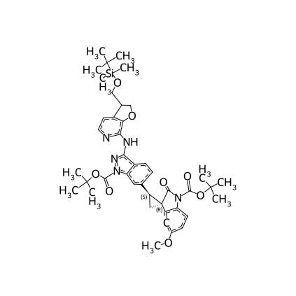 COc1ccc2c(c1)[C@]1(C[C@H]1c1ccc3c(Nc4nccc5c4OCC5CO[Si](C)(C)C(C)(C)C)nn(C(=O)OC(C)(C)C)c3c1)C(=O)N2C(=O)OC(C)(C)C